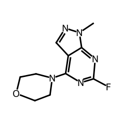 Cn1ncc2c(N3CCOCC3)nc(F)nc21